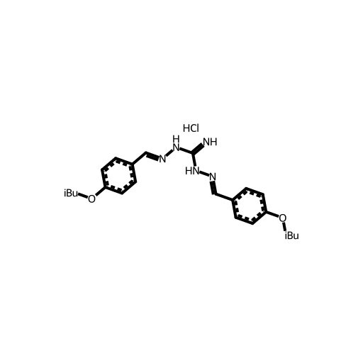 CCC(C)Oc1ccc(C=NNC(=N)NN=Cc2ccc(OC(C)CC)cc2)cc1.Cl